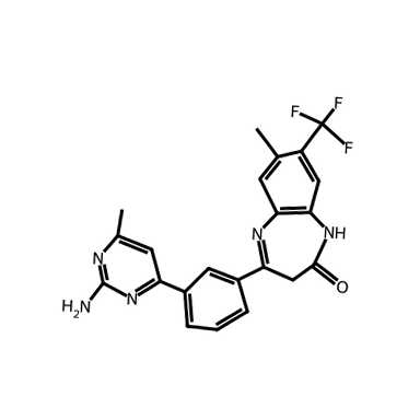 Cc1cc(-c2cccc(C3=Nc4cc(C)c(C(F)(F)F)cc4NC(=O)C3)c2)nc(N)n1